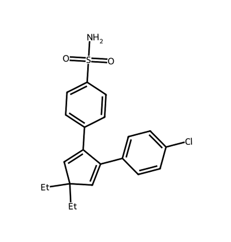 CCC1(CC)C=C(c2ccc(Cl)cc2)C(c2ccc(S(N)(=O)=O)cc2)=C1